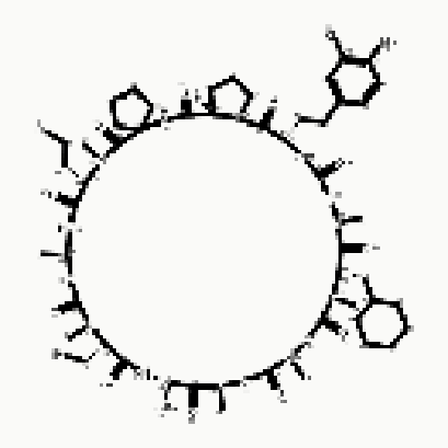 CC[C@H](C)[C@@H]1NC(=O)[C@H](CC(C)C)N(C)C(=O)C[C@@H](C)NC(=O)[C@H](CCC(C)C)N(C)C(=O)C2(CCCC2)NC(=O)[C@@H]2CCCN2C(=O)[C@H](CCc2ccc(C(F)(F)F)c(Cl)c2)NC(=O)CN(C)C(=O)[C@H](CC2CCCCC2)N(C)C(=O)CN(C)C(=O)CN(C)C1=O